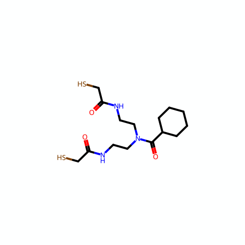 O=C(CS)NCCN(CCNC(=O)CS)C(=O)C1CCCCC1